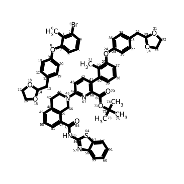 Cc1c(Br)cccc1Oc1ccc(CC2OCCO2)cc1.Cc1c(Oc2ccc(CC3OCCO3)cc2)cccc1-c1ccc(N2CCc3cccc(C(=O)Nc4nc5ccccc5s4)c3C2)nc1C(=O)OC(C)(C)C